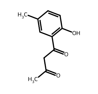 CC(=O)CC(=O)c1cc(C)ccc1O